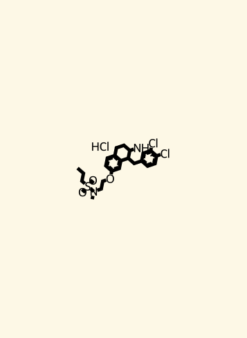 CCCS(=O)(=O)N(C)CCOc1ccc2c(c1)C(Cc1ccc(Cl)c(Cl)c1)C(N)CC2.Cl